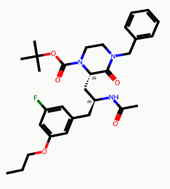 CCCOc1cc(F)cc(C[C@@H](C[C@H]2C(=O)N(Cc3ccccc3)CCN2C(=O)OC(C)(C)C)NC(C)=O)c1